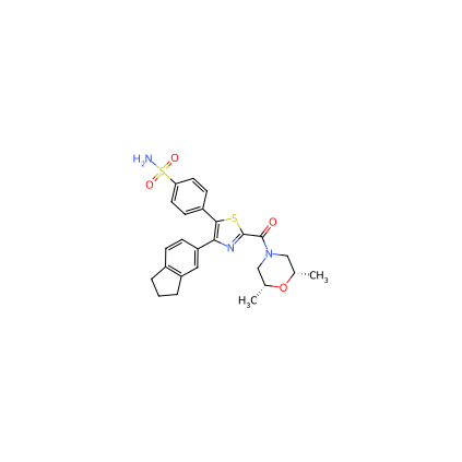 C[C@@H]1CN(C(=O)c2nc(-c3ccc4c(c3)CCC4)c(-c3ccc(S(N)(=O)=O)cc3)s2)C[C@H](C)O1